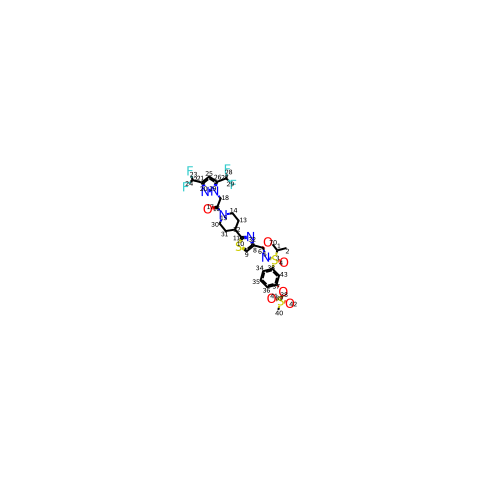 CC(C)S(=O)(=NC(=O)c1csc(C2CCN(C(=O)Cn3nc(C(F)F)cc3C(F)F)CC2)n1)c1cccc(OS(C)(=O)=O)c1